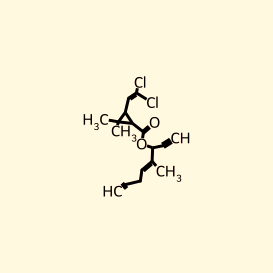 C#CCC=C(C)C(C#C)OC(=O)C1C(C=C(Cl)Cl)C1(C)C